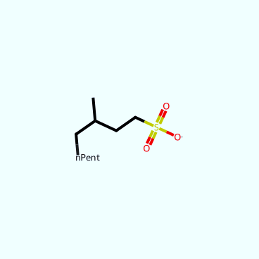 CCCCCCC(C)CCS([O])(=O)=O